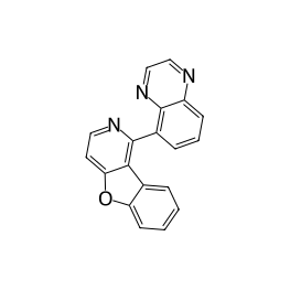 c1cc(-c2nccc3oc4ccccc4c23)c2nccnc2c1